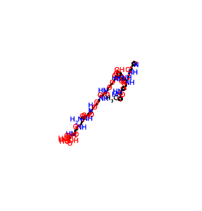 Cc1ccccc1NC(=O)Nc1ccc(CC(=O)N[C@@H](CCCCNC(=O)/C=C/c2cccnc2)C(=O)N[C@@H](CCCC(=O)O)C(=O)NC2(C(=O)NCCOCCOCCNC(=O)CCC(=O)NCCOCCOCCNC(=O)CCC(=O)N[C@@H](CCCCNC(=O)CCC(=O)NCCCC(O)(P(=O)(O)O)P(=O)(O)O)C(N)O)CCCCC2)cc1